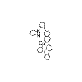 O=P(c1ccccc1)(c1ccc2ccc3c4ccccc4n4c5ccccc5nc4c3c2c1)c1cccc2c1Cc1ccccc1-2